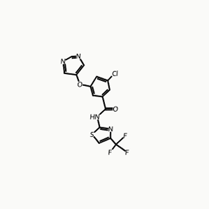 O=C(Nc1nc(C(F)(F)F)cs1)c1cc(Cl)cc(Oc2cncnc2)c1